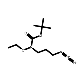 CCON(CCCN=[N+]=[N-])C(=O)OC(C)(C)C